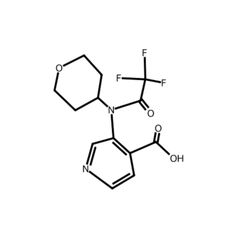 O=C(O)c1ccncc1N(C(=O)C(F)(F)F)C1CCOCC1